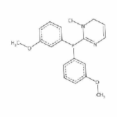 COc1cccc(P(C2=NC=CCN2Cl)c2cccc(OC)c2)c1